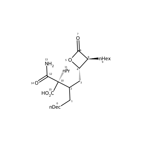 CCCCCCCCCCCC(C[C@@H]1OC(=O)[C@H]1CCCCCC)[C@](CCC)(C(N)=O)C(=O)O